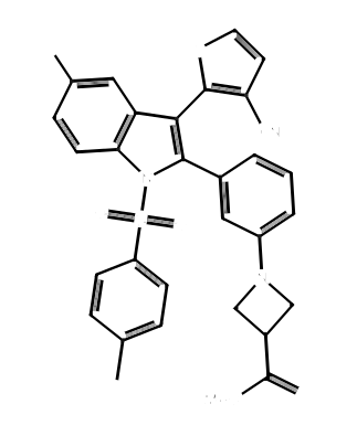 COC(=O)C1CN(c2cccc(-c3c(-c4sccc4C#N)c4cc(F)ccc4n3S(=O)(=O)c3ccc(C)cc3)c2)C1